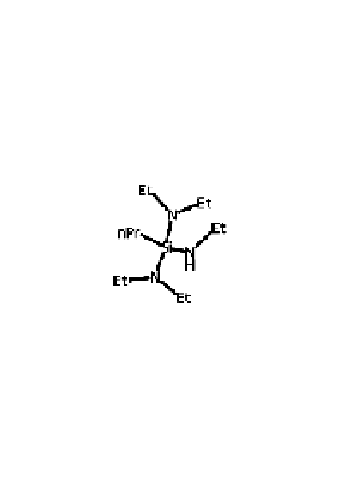 CCC[Si](NCC)(N(CC)CC)N(CC)CC